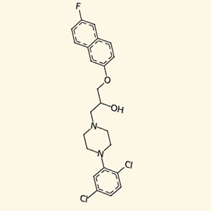 OC(COc1ccc2cc(F)ccc2c1)CN1CCN(c2cc(Cl)ccc2Cl)CC1